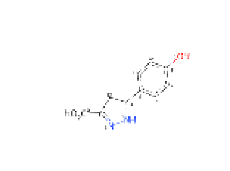 O=C(O)C1=NNC(c2ccc(O)cc2)C1